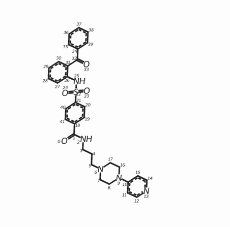 O=C(NCCCN1CCN(c2ccncc2)CC1)c1ccc(S(=O)(=O)Nc2ccccc2C(=O)c2ccccc2)cc1